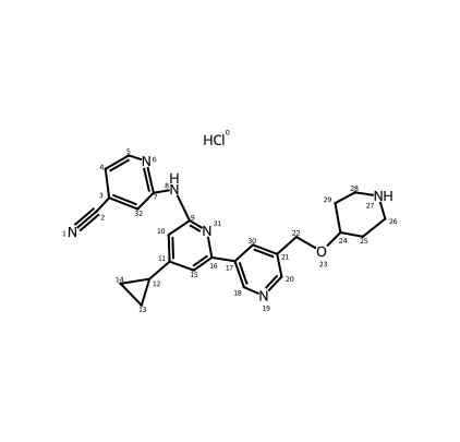 Cl.N#Cc1ccnc(Nc2cc(C3CC3)cc(-c3cncc(COC4CCNCC4)c3)n2)c1